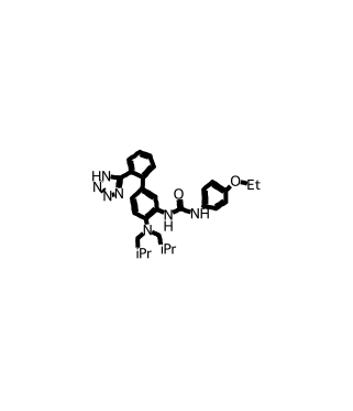 CCOc1ccc(NC(=O)Nc2cc(-c3ccccc3-c3nnn[nH]3)ccc2N(CC(C)C)CC(C)C)cc1